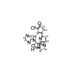 OC(Nc1cnccn1)N1c2nc(-c3ccc(Cl)c(Cl)c3)ccc2N2CC[C@H]1C2